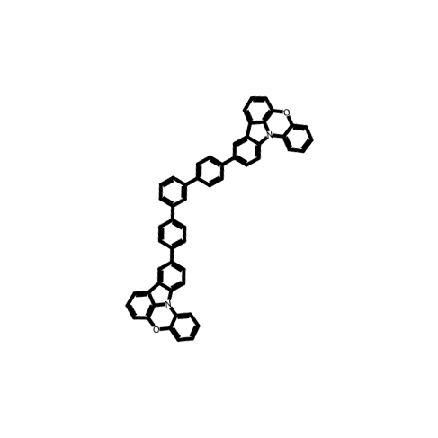 c1cc(-c2ccc(-c3ccc4c(c3)c3cccc5c3n4-c3ccccc3O5)cc2)cc(-c2ccc(-c3ccc4c(c3)c3cccc5c3n4-c3ccccc3O5)cc2)c1